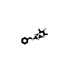 Cc1nc2nc(SCc3ccccc3)nn2c(C)c1Cl